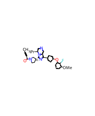 CC#CC(=O)N1CC[C@@H](c2nc(-c3ccc(Oc4cccc(OC)c4F)cc3)c3cncc(C(C)C)n23)C1